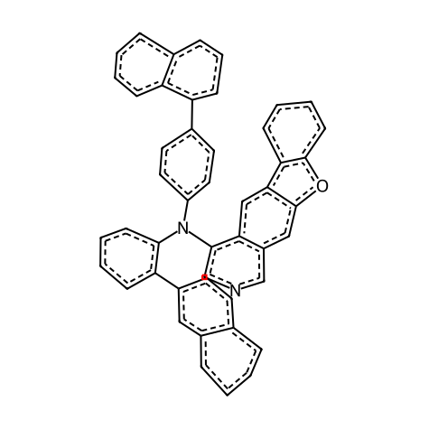 c1ccc(N(c2ccc(-c3cccc4ccccc34)cc2)c2cncc3cc4oc5ccccc5c4cc23)c(-c2ccc3ccccc3c2)c1